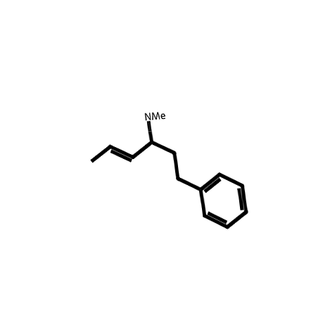 CC=CC(CCc1ccccc1)NC